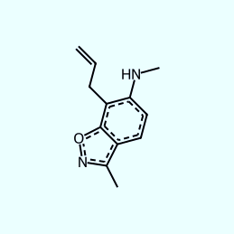 C=CCc1c(NC)ccc2c(C)noc12